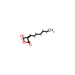 CCCCCCC=C1C(=O)OC1=O